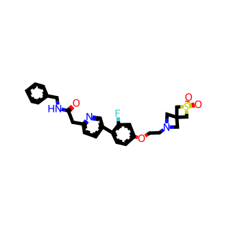 O=C(Cc1ccc(-c2ccc(OCCN3CC4(C3)CS(=O)(=O)C4)cc2F)cn1)NCc1ccccc1